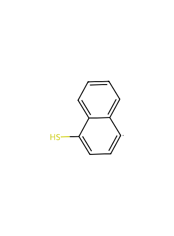 Sc1cc[c]c2ccccc12